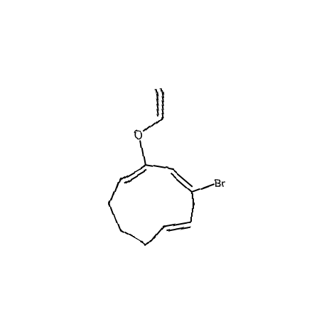 C=COC1=C/CCC/C=C/C(Br)=C\1